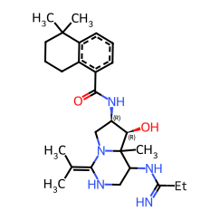 CCC(=N)NC1CNC(=C(C)C)N2C[C@@H](NC(=O)c3cccc4c3CCCC4(C)C)[C@@H](O)C12C